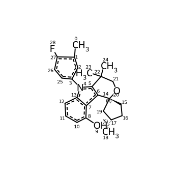 Cc1cc(-n2c3c(c4c(O)cccc42)[C@]2(CC[C@H](C)C2)OCC3(C)C)ccc1F